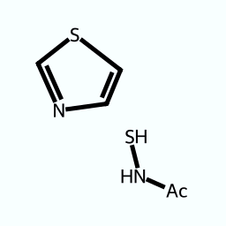 CC(=O)NS.c1cscn1